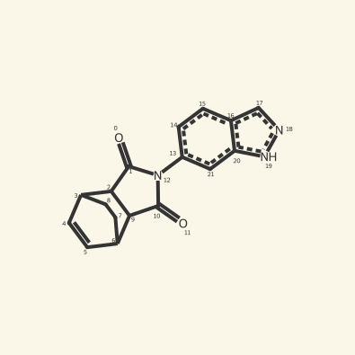 O=C1C2C3C=CC(CC3)C2C(=O)N1c1ccc2cn[nH]c2c1